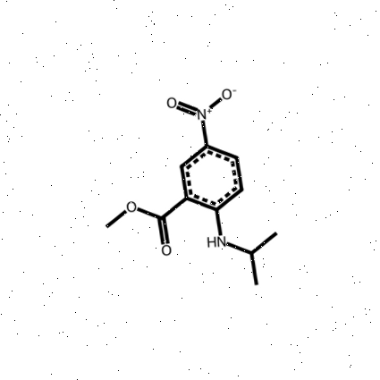 COC(=O)c1cc([N+](=O)[O-])ccc1NC(C)C